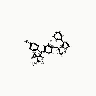 NC(=O)C1(C(=O)N(c2ccc(F)cc2)c2ccc(Oc3ccnn4ccc(-c5ccncc5)c34)c(F)c2)CC1